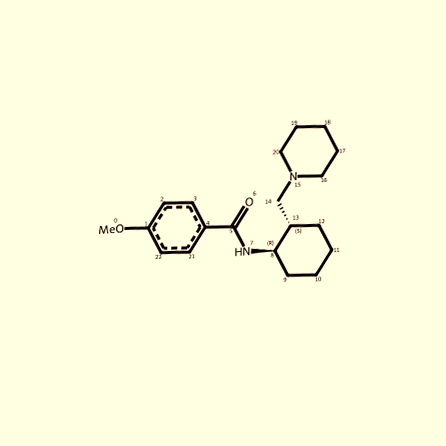 COc1ccc(C(=O)N[C@@H]2CCCC[C@H]2CN2CCCCC2)cc1